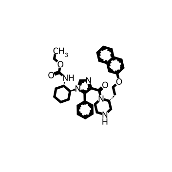 CCOC(=O)N[C@H]1CCCC[C@@H]1n1cnc(C(=O)N2CCNC[C@H]2CCOc2ccc3ccccc3c2)c1-c1ccccc1